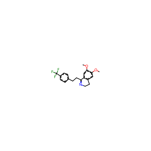 COc1cc2c(cc1OC)C(CCc1ccc(C(F)(F)F)cc1)=NCC2